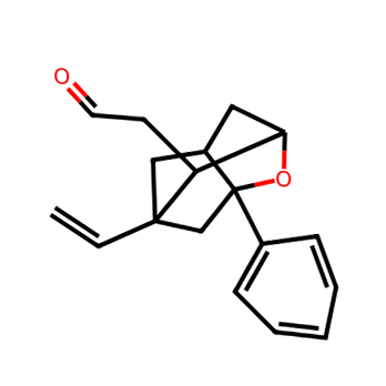 C=CC12CC3CC(OC3(c3ccccc3)C1)C2CC=O